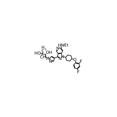 CCNc1cc2c(cn1)c(-c1cnn(C[C@H](O)C(C)(C)O)c1)nn2C1CCC(Oc2ccc(F)cc2F)CC1